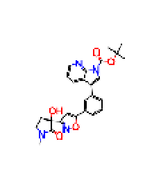 CN1CCC(O)(c2cc(-c3cccc(-c4cn(C(=O)OC(C)(C)C)c5ncccc45)c3)on2)C1=O